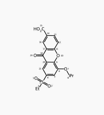 CCS(=O)(=O)c1cc(OC(C)C)c2oc3ccc(C(=O)O)cc3c(=O)c2c1